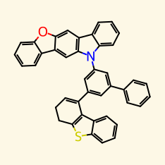 C1=C(c2cc(-c3ccccc3)cc(-n3c4ccccc4c4cc5oc6ccccc6c5cc43)c2)c2c(sc3ccccc23)CC1